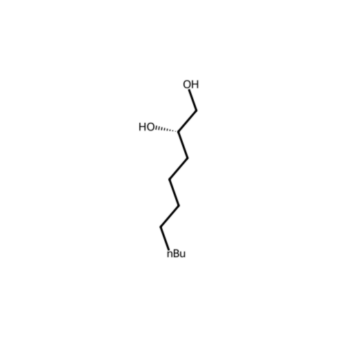 CCCCCCCC[C@H](O)CO